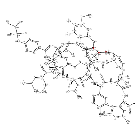 CN[C@@H](CC(C)C)C(=O)N[C@H]1C(=O)N[C@@H](CC(N)=O)C(=O)NC2C(=O)N[C@@H]3C(=O)N[C@@H](C(=O)N[C@@H](C(=O)O)c4cc(O)cc(O)c4-c4cc3ccc4O)[C@H](O)c3ccc(c(Cl)c3)Oc3cc2cc(c3OC2O[C@@H](CO)[C@@H](O)[C@@H](O)[C@H]2O[C@H]2CC(C)(NCCn3ccc(NC(=O)c4ccc(OC(F)(F)C(F)F)cc4)nc3=O)[C@@H](O)C(C)O2)Oc2ccc(cc2Cl)[C@H]1O